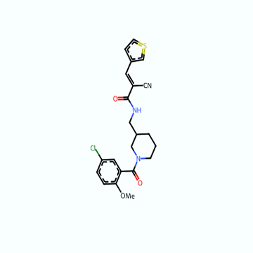 COc1ccc(Cl)cc1C(=O)N1CCCC(CNC(=O)/C(C#N)=C/c2ccsc2)C1